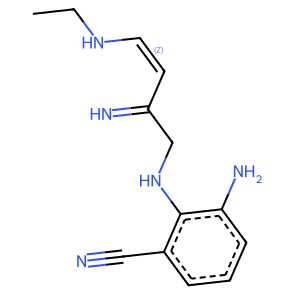 CCN/C=C\C(=N)CNc1c(N)cccc1C#N